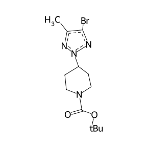 Cc1nn(C2CCN(C(=O)OC(C)(C)C)CC2)nc1Br